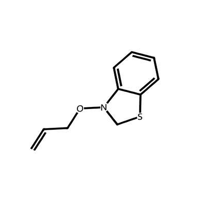 C=CCON1CSc2ccccc21